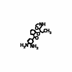 CCC(Oc1ccccc1C(=O)c1ccc(N)c(N)c1)C1CNCCO1